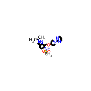 CC(C)n1cc2c(n1)C(COC1CCN(c3ncccn3)CC1)C(NS(C)(=O)=O)CC2